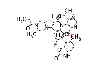 C=CC(=O)N1CC2Cc3c(c4cc(F)c(-c5c(C)ccc6[nH]c(=O)oc56)c(Cl)c4n(-c4c(C(C)C)ncnc4C(C)C)c3=O)N2CC1C